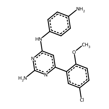 COc1ccc(Cl)cc1-c1cc(Nc2ccc(N)cc2)nc(N)n1